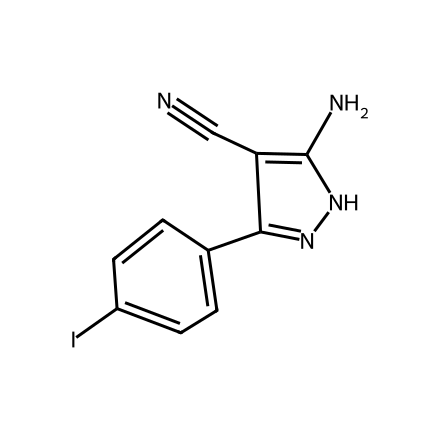 N#Cc1c(-c2ccc(I)cc2)n[nH]c1N